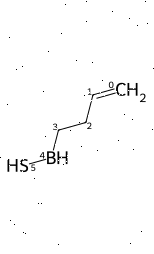 C=CCCBS